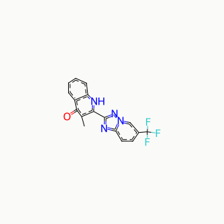 Cc1c(-c2nc3ccc(C(F)(F)F)cn3n2)[nH]c2ccccc2c1=O